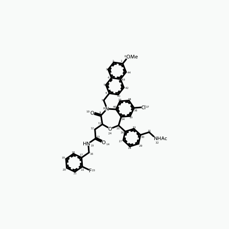 COc1ccc2cc(CN3C(=O)C(CC(=O)NCc4ccccc4F)OC(c4cccc(CNC(C)=O)c4)c4cc(Cl)ccc43)ccc2c1